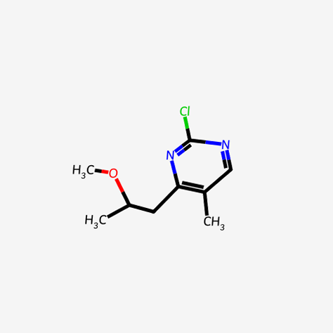 COC(C)Cc1nc(Cl)ncc1C